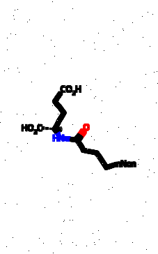 CCCCCCCCCCCCC(=O)N[C@@H](CCC(=O)O)C(=O)O